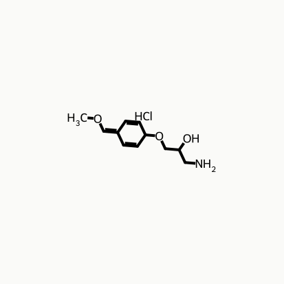 COC=C1C=CC(OCC(O)CN)C=C1.Cl